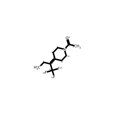 CCC(=C1CCN(C(C)=O)CC1)C(F)(F)F